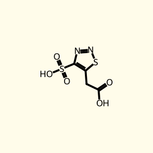 O=C(O)Cc1snnc1S(=O)(=O)O